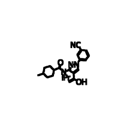 C=C(O)c1cn(-c2cccc(C#N)c2)nc1N(C(=O)C1CCC(C)CC1)C(C)C